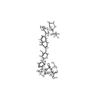 COC(=O)N[C@H](C(=O)N1[C@@H]2CC[C@@H](C2)[C@H]1c1ncc(-c2ccc(-c3ccc4cc(C5=CNC([C@@H]6CCCN6C(=O)OC(C)(C)C)N5)ccc4c3)cc2)[nH]1)C(C)C